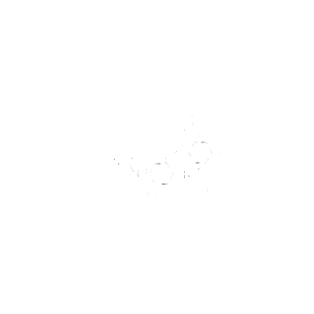 CCN(C)C=Nc1cc(C)c(N(CC)c2cccc(OC)c2)cc1Cl